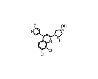 C[C@@H]1C[C@@H](O)CN1c1cc(-c2cn[nH]c2)c2ccc(Cl)c(Cl)c2n1